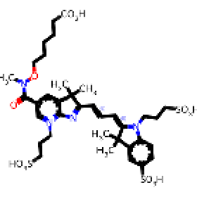 CN(OCCCCCC(=O)O)C(=O)c1cc2c([n+](CCCS(=O)(=O)O)c1)N=C(/C=C/C=C1/N(CCCS(=O)(=O)O)c3ccc(S(=O)(=O)O)cc3C1(C)C)C2(C)C